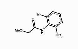 COCC(=O)Nc1c(Br)ccnc1[N+](=O)[O-]